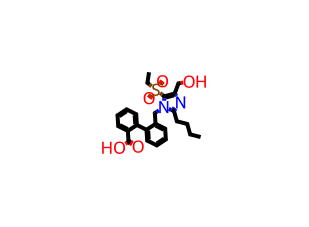 CCCCc1nc(CO)c(S(=O)(=O)CC)n1Cc1ccccc1-c1ccccc1C(=O)O